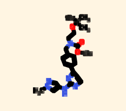 Cn1cc(Nc2nccc(-c3ccc(CN(CCO[Si](C)(C)C(C)(C)C)C(=O)OC(C)(C)C)cc3)n2)cn1